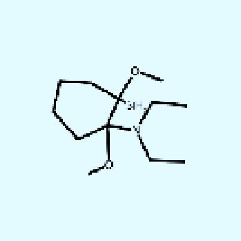 CCN(CC)C1(OC)CCCCC1([SiH3])OC